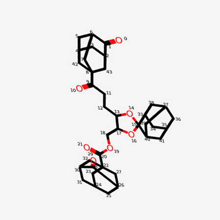 O=C1C2CC3CC1CC(C(=O)CCC1OC4(OC1COC(=O)C15CC6CC(C1)C(=O)C(C6)C5)C1CC5CC(C1)CC4C5)(C3)C2